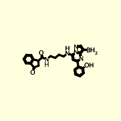 Bc1cnn2c(NCCCCNC(=O)C3CC(=O)c4ccccc43)cc(-c3ccccc3O)nc12